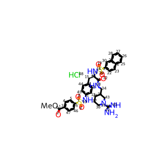 COC(=O)c1ccc(S(=O)(=O)Nc2ccc(C[C@@H](NS(=O)(=O)c3ccc4ccccc4c3)C(=O)NCC3CCCN(C(=N)N)C3)cc2)cc1.Cl